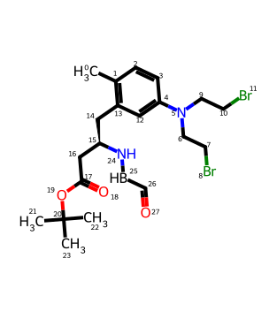 Cc1ccc(N(CCBr)CCBr)cc1C[C@H](CC(=O)OC(C)(C)C)NBC=O